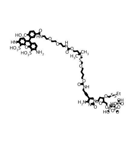 CCSSCO[C@@H]1C[C@H](n2cc(C#CCNC(=O)OCCCCOCSSC(C)(C)CCOC(=O)NCCOCCOCCNC(=O)c3ccc(C(=O)O)c(-c4c5ccc(=N)c(S(=O)(=O)O)c-5oc5c(S(=O)(=O)O)c(N)ccc45)c3)c(N)nc2=O)OC1COP(=O)(O)OP(=O)(O)OP(=O)(O)O